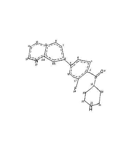 O=C(c1ccc(-c2ccc3cccnc3c2)cc1F)C1CCNCC1